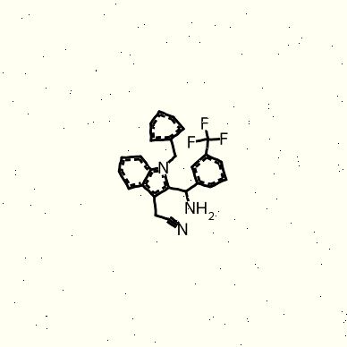 N#CCc1c(C(N)c2cccc(C(F)(F)F)c2)n(Cc2ccccc2)c2ccccc12